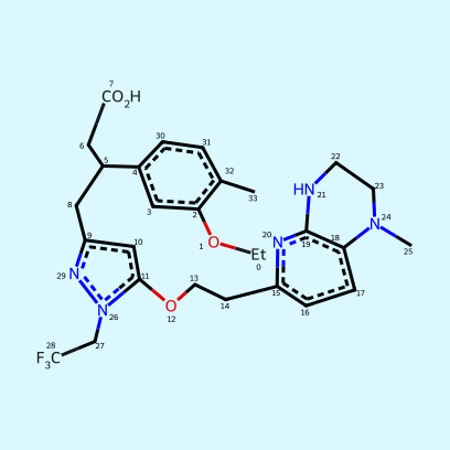 CCOc1cc(C(CC(=O)O)Cc2cc(OCCc3ccc4c(n3)NCCN4C)n(CC(F)(F)F)n2)ccc1C